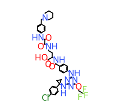 O=C(NCCC(NC(=O)c1ccc(Nc2nc(NC3(c4ccc(Cl)cc4)CC3)nc(OCC(F)(F)F)n2)cc1)C(=O)O)C(=O)Nc1ccc(CN2CCCCC2)cc1